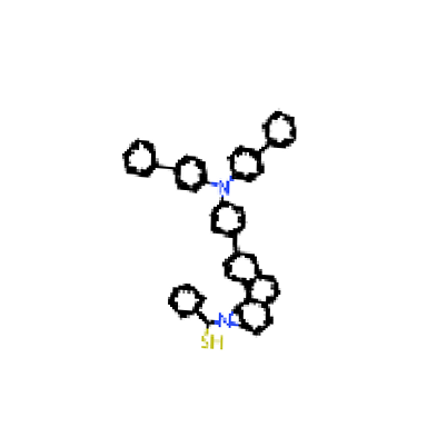 SC(c1ccccc1)N1c2ccc3ccc4cc(-c5ccc(N(c6ccc(-c7ccccc7)cc6)c6ccc(-c7ccccc7)cc6)cc5)ccc4c3c21